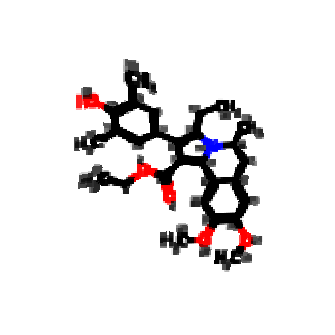 CCOC(=O)c1c(-c2cc(C)c(O)c(C)c2)c(CC)n2c1-c1cc(OC)c(OC)cc1CC2C